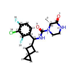 C[C@@H]1C(=O)NCCN1C(=O)NC(c1ccc(F)c(Cl)c1F)C1CC2(CC2)C1